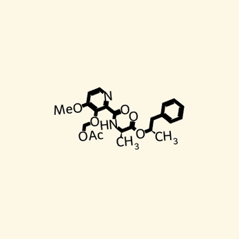 COc1ccnc(C(=O)N[C@@H](C)C(=O)O[C@@H](C)Cc2ccccc2)c1OCOC(C)=O